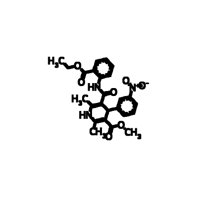 CCOC(=O)c1ccccc1NC(=O)C1=C(C)NC(C)=C(C(=O)OC)C1c1cccc([N+](=O)[O-])c1